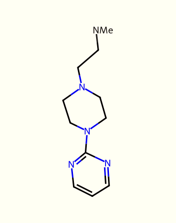 CNCCN1CCN(c2ncccn2)CC1